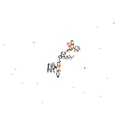 CCCCCCCCC1(CCCCCCCC)c2cc(-c3ccc(/C=C4/C(=C(C#N)C#N)c5ccccc5S4(=O)=O)s3)ccc2-c2ccc(-c3ccc(/C=C4/C(=C(C#N)C#N)c5ccccc5S4(=O)=O)s3)cc21